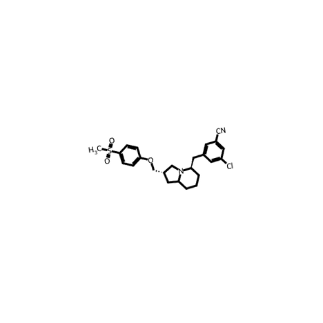 CS(=O)(=O)c1ccc(OC[C@H]2CC3CCC[C@H](Cc4cc(Cl)cc(C#N)c4)N3C2)cc1